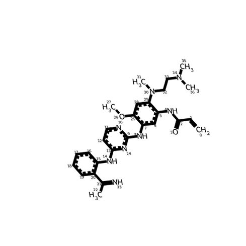 C=CC(=O)Nc1cc(Nc2nccc(Nc3ccccc3C(C)=N)n2)c(OC)cc1N(C)CCN(C)C